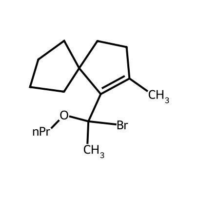 CCCOC(C)(Br)C1=C(C)CCC12CCCC2